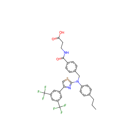 CCCc1ccc(N(Cc2ccc(C(=O)NCCC(=O)O)cc2)c2nc(-c3cc(C(F)(F)F)cc(C(F)(F)F)c3)cs2)cc1